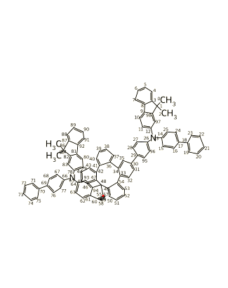 CC1(C)c2ccccc2-c2ccc(N(c3ccc(-c4ccccc4)cc3)c3ccc(-c4ccc5c(c4)-c4ccccc4-c4ccccc4C4(c6ccccc6-5)c5ccccc5-c5ccc(N(c6ccc(-c7ccccc7)cc6)c6ccc7c(c6)C(C)(C)c6ccccc6-7)cc54)cc3)cc21